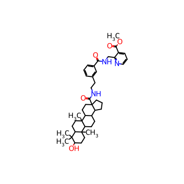 COC(=O)c1cccnc1CNC(=O)c1cccc(CCNC(=O)C23CCCC2C2CCC4C(C)(CCC5C(C)(C)C(O)CCC54C)C2CC3)c1